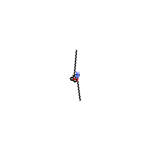 CCCCCCCCCCCCCCCCCC(c1nccn1CCCCCCCCCCCCCCCCC)C(C)(Cc1ccccc1)c1ccccc1